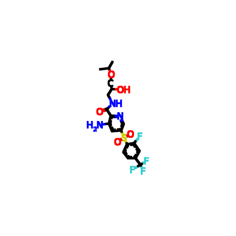 CC(C)OCC(O)CNC(=O)c1ncc(S(=O)(=O)c2ccc(C(F)(F)F)cc2F)cc1N